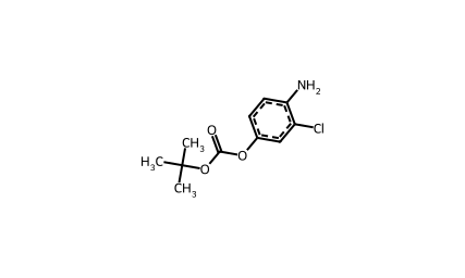 CC(C)(C)OC(=O)Oc1ccc(N)c(Cl)c1